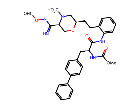 COC(=O)N[C@@H](Cc1ccc(-c2ccccc2)cc1)C(=O)Nc1ccccc1CC[C@@H]1CN(C(=O)O)[C@H](C(=N)NOC=O)CO1